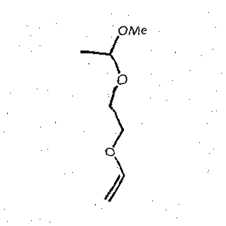 C=COCCOC(C)OC